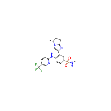 CNS(=O)(=O)c1ccc(Nc2ccc(C(F)(F)F)cn2)c(-c2cn3c(n2)CCC3C)c1